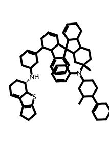 CC1CC(N(C2C=CC=CC2)C2(C)CCC3C4CCC=CC4C4(c5ccccc5C5C(C6=CCCC(N[C@H]7CCC=C8C9=C(CCC9)SC87)C6)CC=CC54)C3C2)CCC1C1=CCCCC1